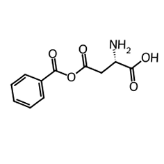 N[C@@H](CC(=O)OC(=O)c1ccccc1)C(=O)O